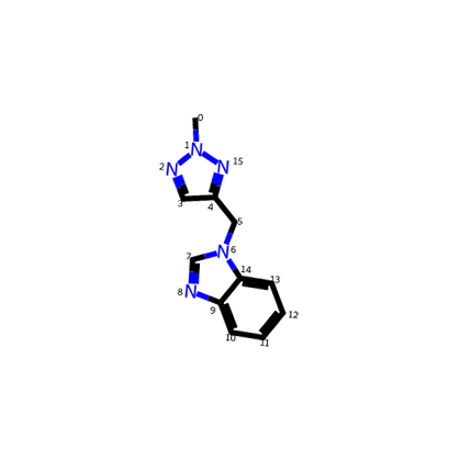 Cn1ncc(Cn2cnc3ccccc32)n1